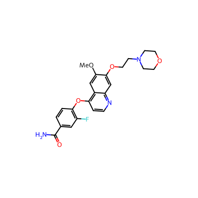 COc1cc2c(Oc3ccc(C(N)=O)cc3F)ccnc2cc1OCCN1CCOCC1